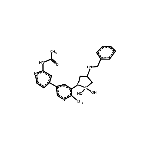 CC(=O)Nc1cc(-c2cnc(C)c(N3CC(NCc4ccccc4)CS3(O)O)c2)ccn1